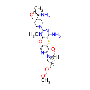 COCOC[C@H]1C[C@H]2COc3c(Sc4c(N)nc(N5CCC6(CC5)CO[C@@H](C)[C@H]6N)n(C)c4=O)ccnc3N2C1